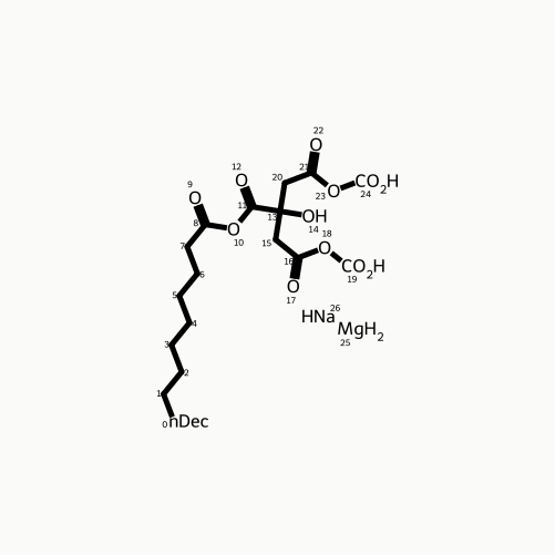 CCCCCCCCCCCCCCCCCC(=O)OC(=O)C(O)(CC(=O)OC(=O)O)CC(=O)OC(=O)O.[MgH2].[NaH]